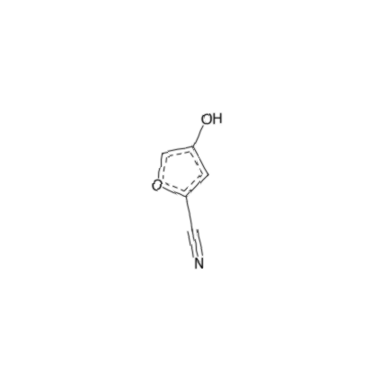 N#Cc1cc(O)co1